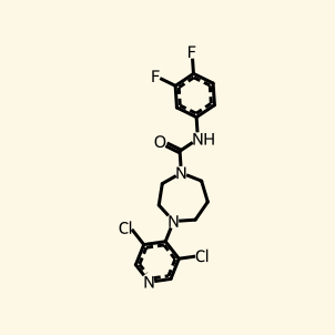 O=C(Nc1ccc(F)c(F)c1)N1CCCN(c2c(Cl)cncc2Cl)CC1